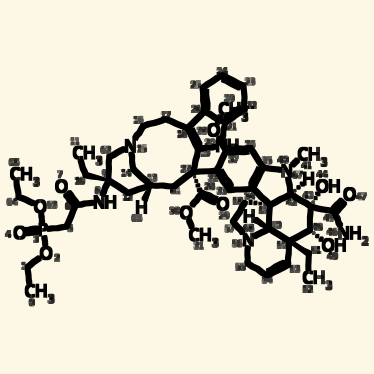 CCOP(=O)(CC(=O)N[C@@]1(CC)C[C@@H]2CN(CCc3c([nH]c4ccccc34)[C@@](C(=O)OC)(c3cc4c(cc3OC)N(C)[C@H]3[C@@](O)(C(N)=O)[C@H](O)[C@]5(CC)C=CCN6CC[C@]43[C@@H]65)C2)C1)OCC